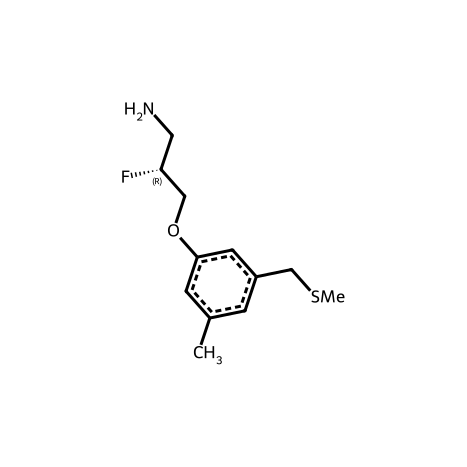 CSCc1cc(C)cc(OC[C@H](F)CN)c1